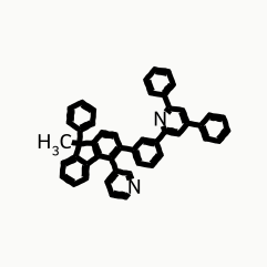 CC1(c2ccccc2)c2ccccc2-c2c1ccc(-c1cccc(-c3cc(-c4ccccc4)cc(-c4ccccc4)n3)c1)c2-c1cccnc1